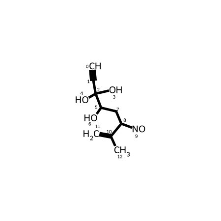 C#CC(O)(O)C(O)CC(N=O)C(=C)C